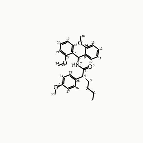 CCCC[C@@H](C(=O)NC(c1ccccc1OC)c1ccccc1OC)c1ccc(OC)cc1